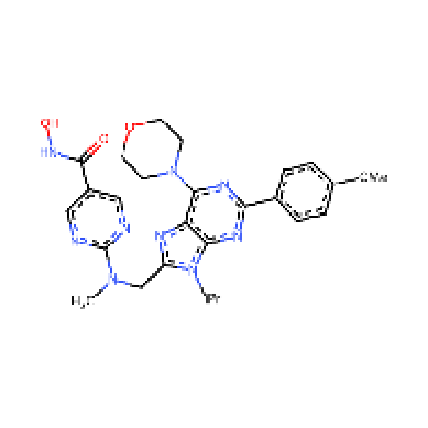 COc1ccc(-c2nc(N3CCOCC3)c3nc(CN(C)c4ncc(C(=O)NO)cn4)n(C(C)C)c3n2)cc1